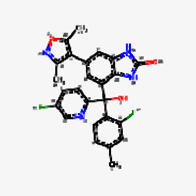 Cc1ccc(C(O)(c2ccc(F)cn2)c2cc(-c3c(C)noc3C)cc3[nH]c(=O)[nH]c23)c(F)c1